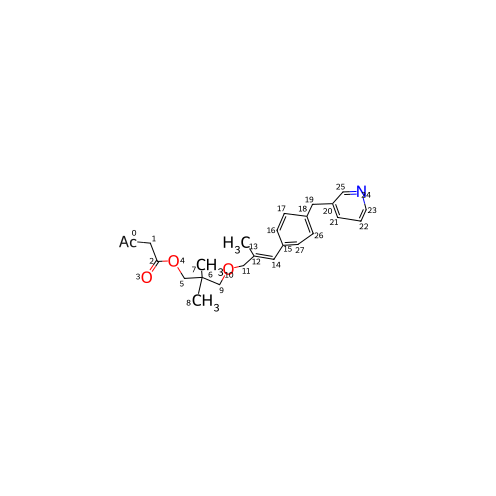 CC(=O)CC(=O)OCC(C)(C)COC/C(C)=C/c1ccc(Cc2cccnc2)cc1